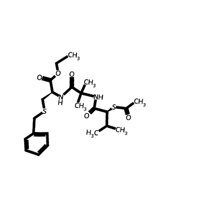 CCOC(=O)[C@H](CSCc1ccccc1)NC(=O)C(C)(C)NC(=O)[C@@H](SC(C)=O)C(C)C